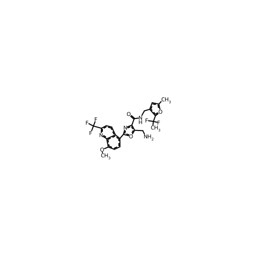 COc1ccc(-c2nc(C(=O)NCc3cc(C)oc3C(C)(F)F)c(CN)o2)c2ccc(C(F)(F)F)nc12